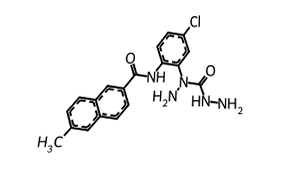 Cc1ccc2cc(C(=O)Nc3ccc(Cl)cc3N(N)C(=O)NN)ccc2c1